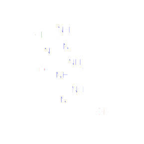 Nc1nc(N)c(C(=O)NCc2nc3ccc(O)cc3[nH]2)nc1Cl